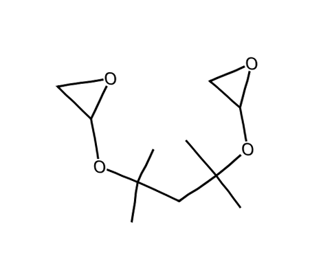 CC(C)(CC(C)(C)OC1CO1)OC1CO1